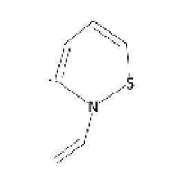 C=CN1[C]=CC=CS1